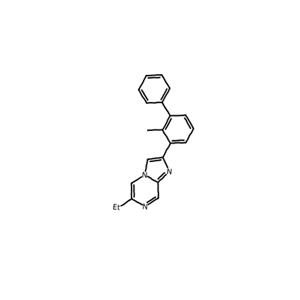 CCc1cn2cc(-c3cccc(-c4ccccc4)c3C)nc2cn1